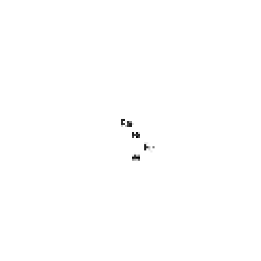 [Fe].[Ni].[Re].[W]